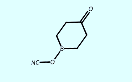 N#COB1CCC(=O)CC1